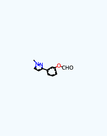 Cn1ccc(-c2cccc(OC=O)c2)n1